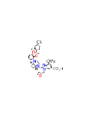 COc1cc(C(=O)O)cc2c1nc(CN1CCN(c3cccc4c3O[C@@](C)(c3ccc(C#N)cc3F)O4)[C@@H]3CC[C@H]31)n2C[C@@H]1CCO1